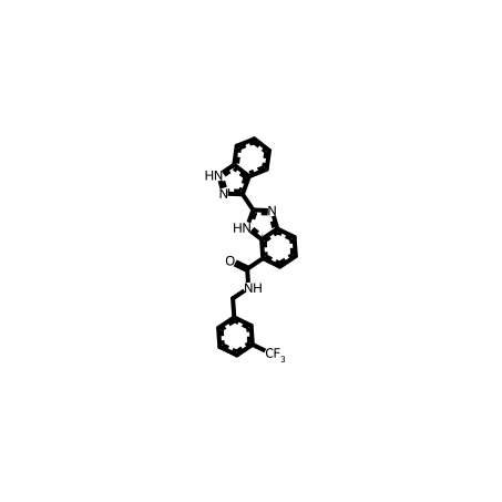 O=C(NCc1cccc(C(F)(F)F)c1)c1cccc2nc(-c3n[nH]c4ccccc34)[nH]c12